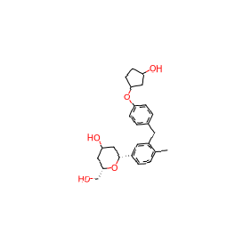 Cc1ccc([C@H]2CC(O)C[C@@H](CO)O2)cc1Cc1ccc(OC2CCC(O)C2)cc1